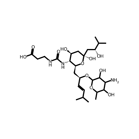 CC(C)/C=C/[C@@H](C[C@@H]1O[C@](O)(C[C@@H](O)C(C)C)C[C@H](O)[C@H]1NC(=O)NCCC(=O)O)OC1OC(C)C(O)C(N)C1O